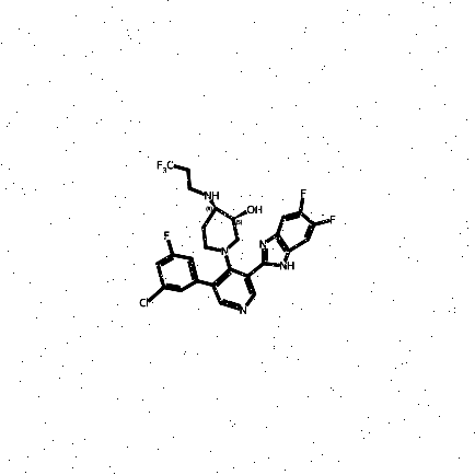 O[C@H]1CN(c2c(-c3cc(F)cc(Cl)c3)cncc2-c2nc3cc(F)c(F)cc3[nH]2)CC[C@H]1NCCC(F)(F)F